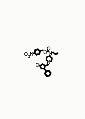 C=CCN(C(=O)OCc1ccc([N+](=O)[O-])cc1)C1CCN(CC2CC(=O)CC2c2ccccc2)CC1